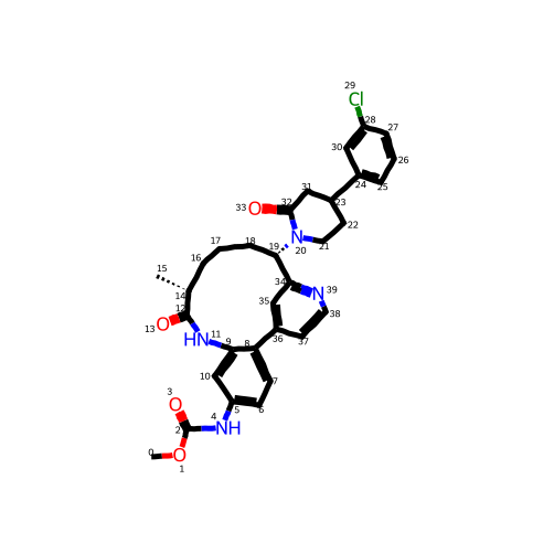 COC(=O)Nc1ccc2c(c1)NC(=O)[C@H](C)CCC[C@H](N1CCC(c3cccc(Cl)c3)CC1=O)c1cc-2ccn1